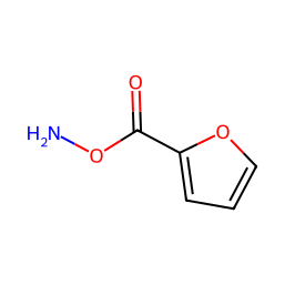 NOC(=O)c1ccco1